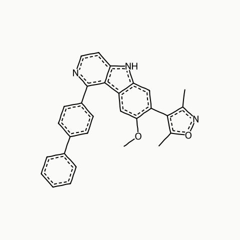 COc1cc2c(cc1-c1c(C)noc1C)[nH]c1ccnc(-c3ccc(-c4ccccc4)cc3)c12